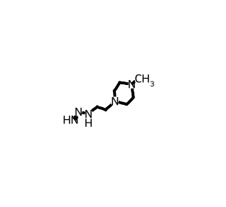 CN1CCN(CCNN=N)CC1